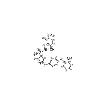 COCc1nn(Cc2ccc(CN3C=CC=CC3O)cc2)cc1C(=O)NCc1c(C#N)ccc(OC)c1F